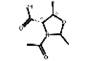 CC(=O)N1C(C)O[C@H](C)[C@H]1C(=O)O